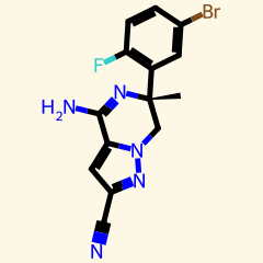 C[C@@]1(c2cc(Br)ccc2F)Cn2nc(C#N)cc2C(N)=N1